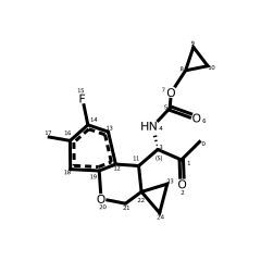 CC(=O)[C@@H](NC(=O)OC1CC1)C1c2cc(F)c(C)cc2OCC12CC2